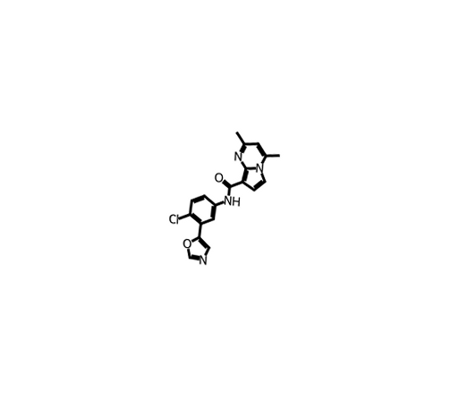 Cc1cc(C)n2ccc(C(=O)Nc3ccc(Cl)c(-c4cnco4)c3)c2n1